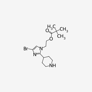 CC(C)(C)C(=O)OCCn1cc(Br)nc1C1CCNCC1